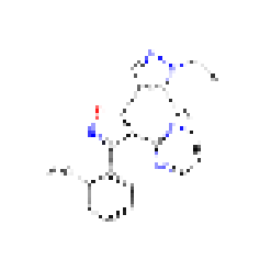 COc1ccccc1-c1noc(-c2cnn(CC(C)=O)c2C(F)(F)F)c1-c1ncccn1